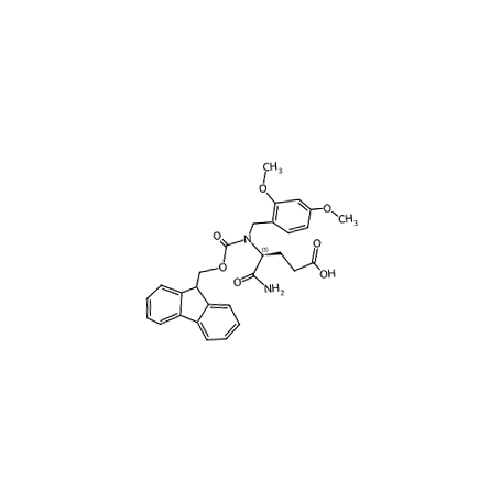 COc1ccc(CN(C(=O)OCC2c3ccccc3-c3ccccc32)[C@@H](CCC(=O)O)C(N)=O)c(OC)c1